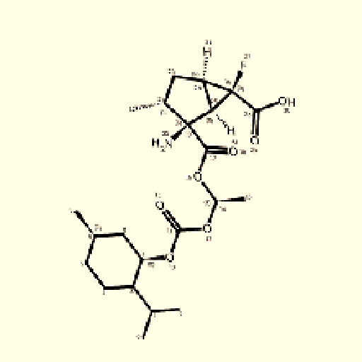 CC(C)C1CC[C@@H](C)C[C@H]1OC(=O)O[C@H](C)OC(=O)[C@]1(N)[C@H](C)C[C@@H]2[C@H]1[C@@]2(F)C(=O)O